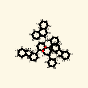 c1cc(-c2ccccc2N(c2ccc(-c3cccc4c3oc3ccccc34)cc2)c2cc3ccccc3c3ccccc23)cc(-c2ccccc2-n2c3ccccc3c3ccccc32)c1